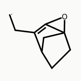 [CH2]CC1=C2OC23CCC1C3